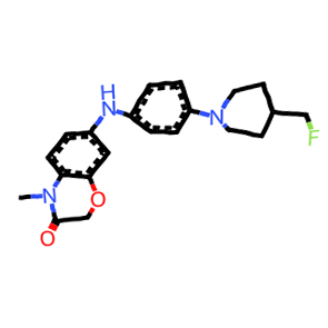 CN1C(=O)COc2cc(Nc3ccc(N4CCC(CF)CC4)cc3)ccc21